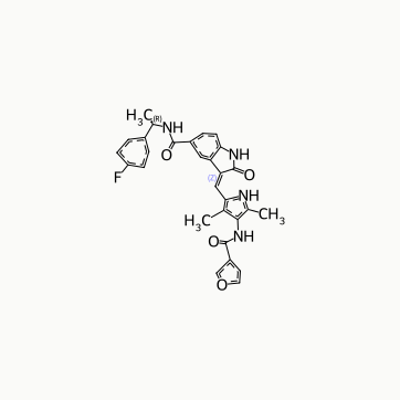 Cc1[nH]c(/C=C2\C(=O)Nc3ccc(C(=O)N[C@H](C)c4ccc(F)cc4)cc32)c(C)c1NC(=O)c1ccoc1